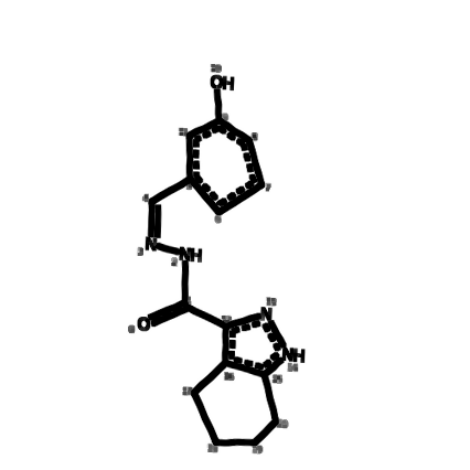 O=C(N/N=C\c1cccc(O)c1)c1n[nH]c2c1CCCC2